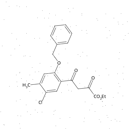 CCOC(=O)C(=O)CC(=O)c1cc(Cl)c(C)cc1OCc1ccccc1